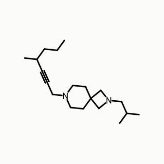 CCCC(C)C#CCN1CCC2(CC1)CN(CC(C)C)C2